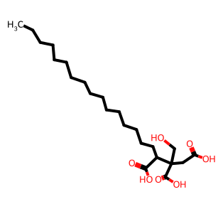 CCCCCCCCCCCCCCCCC(C(=O)O)C(CO)(CC(=O)O)C(=O)O